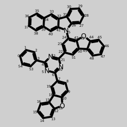 c1ccc(-c2nc(-c3ccc4oc5ccccc5c4c3)nc(-c3cc(-n4c5ccccc5c5cc6ccccc6cc54)c4oc5ccccc5c4c3)n2)cc1